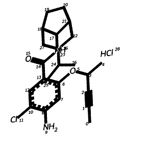 CC#CC(C)Oc1cc(N)c(Cl)cc1C(=O)NC1C2CCC1CN(C(C)C)C2.Cl